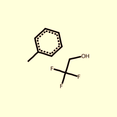 Cc1ccccc1.OCC(F)(F)F